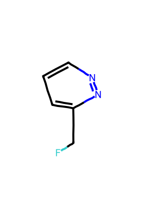 FCc1cccnn1